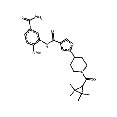 COc1ccc(C(N)=O)cc1NC(=O)c1csc(C2CCN(C(=O)C3C(C)(C)C3(C)C)CC2)n1